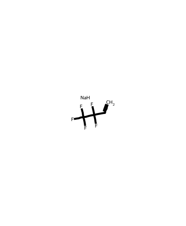 C=CC(F)(F)C(F)(F)F.[NaH]